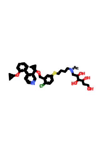 CC(=O)N(CCCCSc1ccc(Cl)c(COC2(c3cnccc3-c3ccccc3OC3CC3)CC2)c1)CC(O)C(O)C(O)CCO